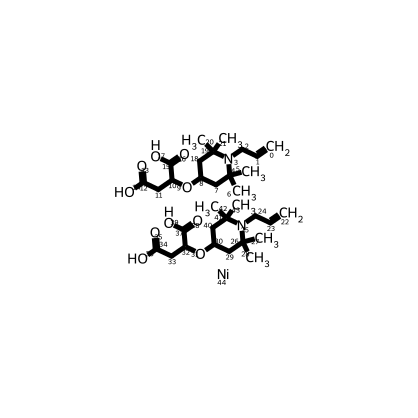 C=CCN1C(C)(C)CC(OC(CC(=O)O)C(=O)O)CC1(C)C.C=CCN1C(C)(C)CC(OC(CC(=O)O)C(=O)O)CC1(C)C.[Ni]